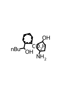 CCCCC(O)c1ccccc1C(=O)O.NC1CCC(O)CC1